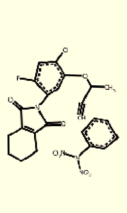 C#CC(C)Oc1cc(N2C(=O)C3=C(CCCC3)C2=O)c(F)cc1Cl.O=[N+]([O-])N(c1ccccc1)[N+](=O)[O-]